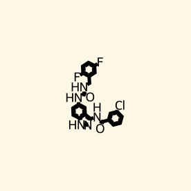 O=C(NCc1cc(F)ccc1F)Nc1ccc2[nH]nc(NC(=O)c3cccc(Cl)c3)c2c1